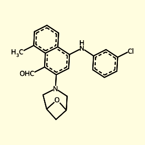 Cc1cccc2c(Nc3cccc(Cl)c3)cc(N3CC4CC(C3)O4)c(C=O)c12